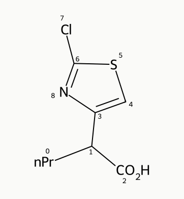 CCCC(C(=O)O)c1csc(Cl)n1